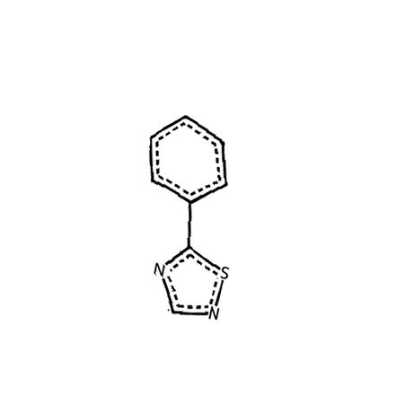 [c]1nsc(-c2ccccc2)n1